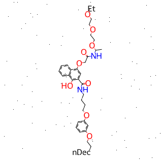 CCCCCCCCCCCCOc1cccc(OCCCCNC(=O)c2cc(OCC(=O)NC(C)OCCOCCOCC)c3ccccc3c2O)c1